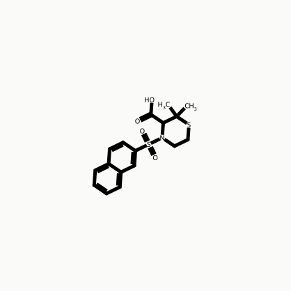 CC1(C)SCCN(S(=O)(=O)c2ccc3ccccc3c2)C1C(=O)O